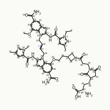 CCn1nc(C)cc1C(=O)Nc1nc2cc(C(N)=O)cc(OC)c2n1C/C=C/Cn1c(NC(=O)c2cc(C)nn2C)nc2cc(C(N)=O)cc(OCCC3CN(C(=O)CCN4C(=O)CC(SC[C@H](N)C(=O)O)C4=O)C3)c21